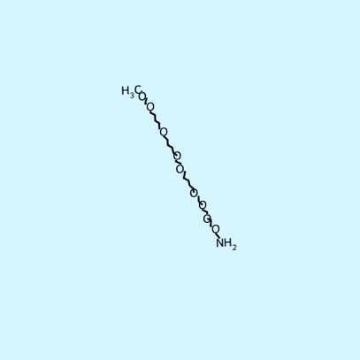 CCOCCOCCCCCOCCCCCOCCOCCCCCOCCOCCOCCOCCN